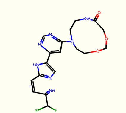 N=C(/C=C\c1ncc(-c2cc(N3CCNC(=O)COCOCC3)ncn2)[nH]1)C(F)F